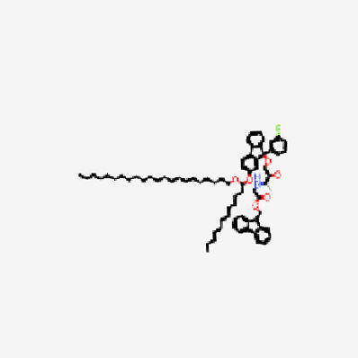 CCCCCCCCCCCCCCCCCCCCCCOC(CCCCCCCCCCC)Oc1ccc2c(c1)C(OCC(=O)[C@H](C)NCC(=O)OCC1c3ccccc3-c3ccccc31)(c1cccc(F)c1)c1ccccc1-2